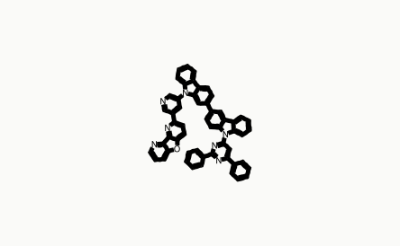 c1ccc(-c2cc(-n3c4ccccc4c4cc(-c5ccc6c7ccccc7n(-c7cncc(-c8ccc9oc%10cccnc%10c9n8)c7)c6c5)ccc43)nc(-c3ccccc3)n2)cc1